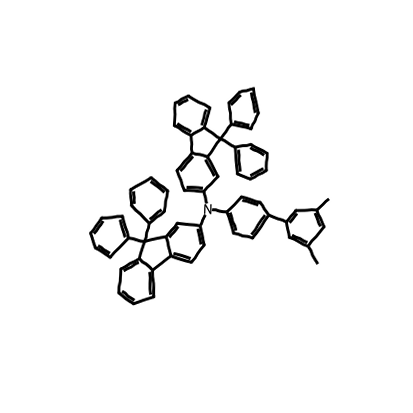 Cc1cc(C)cc(-c2ccc(N(c3ccc4c(c3)C(c3ccccc3)(c3ccccc3)c3ccccc3-4)c3ccc4c(c3)C(c3ccccc3)(c3ccccc3)c3ccccc3-4)cc2)c1